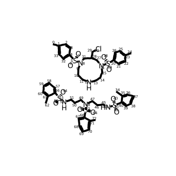 Cc1ccc(S(=O)(=O)N2CCCNCCCN(S(=O)(=O)c3ccc(C)cc3)CC(CCl)C2)cc1.Cc1ccccc1S(=O)(=O)NCCCN(CCCNS(=O)(=O)c1ccccc1C)S(=O)(=O)c1ccccc1C